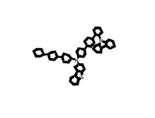 c1ccc(-c2ccc(-c3ccc(N(c4ccc(-c5ccc(-c6ccccc6-n6c7ccccc7c7ccccc76)cc5)cc4)c4ccc5sc6ccccc6c5c4)cc3)cc2)cc1